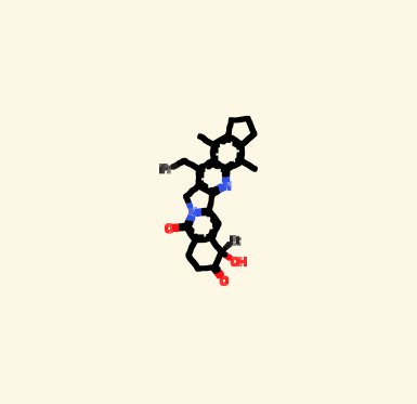 CC[C@@]1(O)C(=O)CCc2c1cc1n(c2=O)Cc2c-1nc1c(C)c3c(c(C)c1c2CC(C)C)CCC3